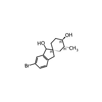 C[C@@H]1C[C@]2(CC[C@H]1O)Cc1ccc(Br)cc1C2O